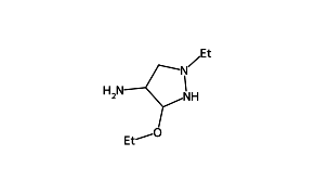 CCOC1NN(CC)CC1N